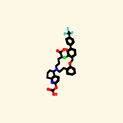 O=C(O)CCCCN(CCc1ccccc1OCc1ccc(-c2ccc(C(F)(F)F)cc2)cc1Cl)C1CCCc2nc(OC(=O)O)ccc21